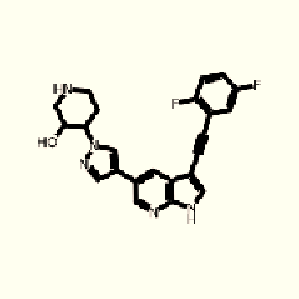 OC1CNCCC1n1cc(-c2cnc3[nH]cc(C#Cc4cc(F)ccc4F)c3c2)cn1